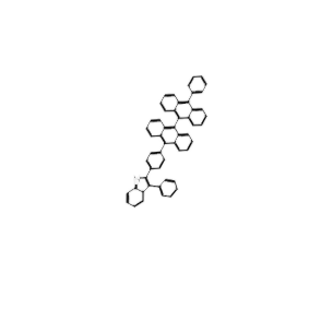 C1=CC2=NC(c3ccc(-c4c5ccccc5c(-c5c6ccccc6c(-c6ccccc6)c6ccccc56)c5ccccc45)cc3)=C(c3ccccc3)C2C=C1